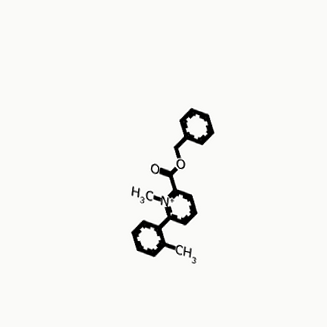 Cc1ccccc1-c1cccc(C(=O)OCc2ccccc2)[n+]1C